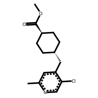 COC(=O)[C@H]1CC[C@H](Cc2cc(C)ncc2Cl)CC1